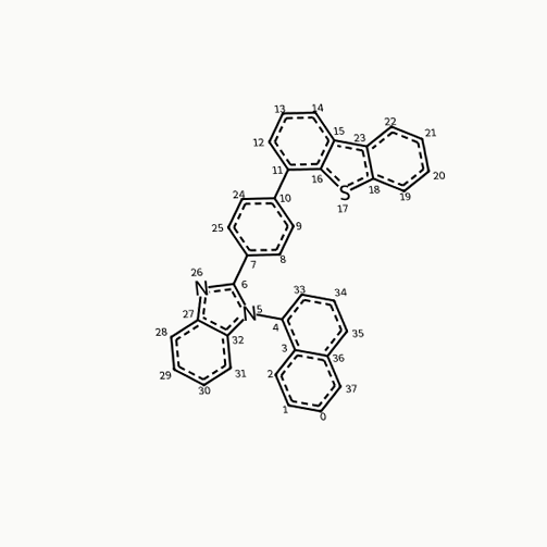 c1ccc2c(-n3c(-c4ccc(-c5cccc6c5sc5ccccc56)cc4)nc4ccccc43)cccc2c1